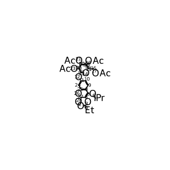 CCC(=O)Oc1c(OC(C)C)c2ccc(O[C@H]3O[C@H](COC(C)=O)[C@@H](OC(C)=O)[C@H](OC(C)=O)[C@@H]3OC(C)=O)cc2oc1=O